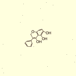 OC1=C(c2ccccc2)COc2ccc(O)c(O)c21